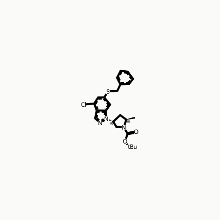 C[C@@H]1C[C@@H](n2ncc3c(Cl)cc(SCc4ccccc4)cc32)CN1C(=O)OC(C)(C)C